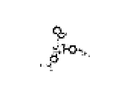 COc1ccc(C(=O)N[C@@H](Cc2c[nH]c3ccccc23)C(=O)Nc2ccc(C(=O)O)cc2)cc1